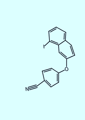 N#Cc1ccc(Oc2ccc3cccc(I)c3c2)cc1